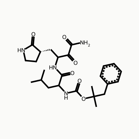 CC(C)CC(NC(=O)OC(C)(C)Cc1ccccc1)C(=O)NC(C[C@@H]1CCNC1=O)C(=O)C(N)=O